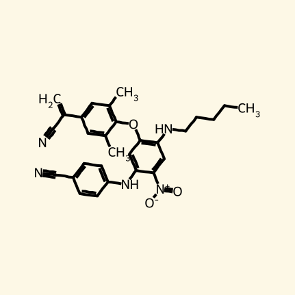 C=C(C#N)c1cc(C)c(Oc2cc(Nc3ccc(C#N)cc3)c([N+](=O)[O-])cc2NCCCCC)c(C)c1